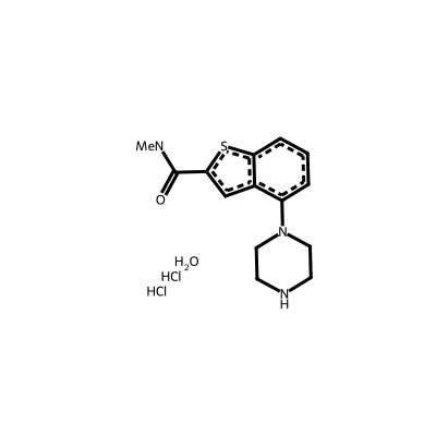 CNC(=O)c1cc2c(N3CCNCC3)cccc2s1.Cl.Cl.O